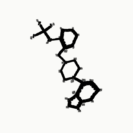 FC(F)(F)Oc1ccccc1CN1CCN(c2cccc3scnc23)CC1